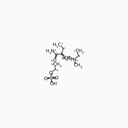 C=C(CC)C(N)=O.CCN(C)C.CCOS(=O)(=O)O